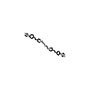 C(=C\c1cc[n+](CCSSCC[n+]2ccc(/C=C/c3ccc(-n4ccnc4)cc3)cc2)cc1)/c1ccc(-n2ccnc2)cc1